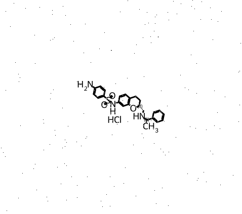 C[C@@H](NC[C@H]1CCc2ccc(NS(=O)(=O)c3ccc(N)cc3)cc2O1)c1ccccc1.Cl